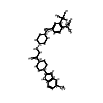 Cc1ccc2oc(N3CCN(C(=O)CO[C@H]4CC[C@H](Nc5ccc([N+](=O)[O-])c(C(F)(F)F)c5)CC4)CC3)nc2c1